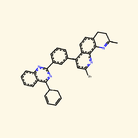 CC1=Nc2c(ccc3c(-c4cccc(-c5nc(C6C=CC=CC6)c6ccccc6n5)c4)cc(C(C)C)nc23)CC1